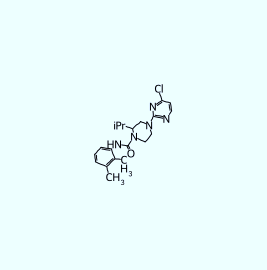 Cc1cccc(NC(=O)N2CCN(c3nccc(Cl)n3)CC2C(C)C)c1C